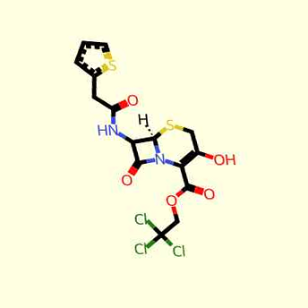 O=C(Cc1cccs1)NC1C(=O)N2C(C(=O)OCC(Cl)(Cl)Cl)=C(O)CS[C@H]12